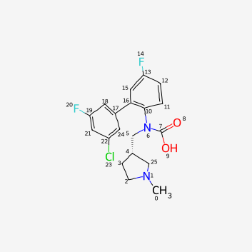 CN1CC[C@H](CN(C(=O)O)c2ccc(F)cc2-c2cc(F)cc(Cl)c2)C1